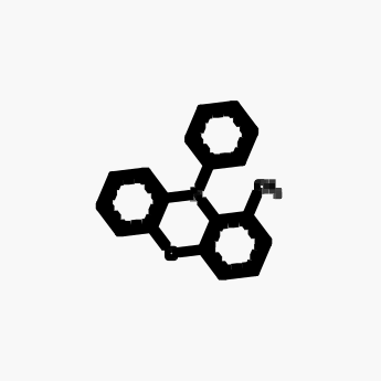 Cc1cccc2c1N(c1ccccc1)c1ccccc1O2